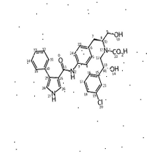 O=C(Nc1ccc(C[C@@H](CO)N(C[C@H](O)c2cccc(Cl)c2)C(=O)O)cc1)c1c[nH]cc1-c1ccccc1